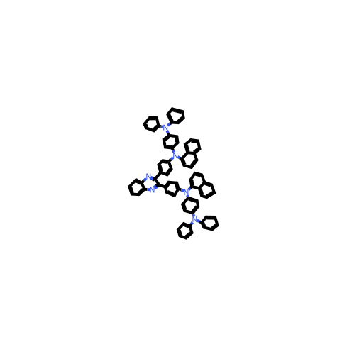 c1ccc(N(c2ccccc2)c2ccc(N(c3ccc(-c4nc5ccccc5nc4-c4ccc(N(c5ccc(N(c6ccccc6)c6ccccc6)cc5)c5cccc6ccccc56)cc4)cc3)c3cccc4ccccc34)cc2)cc1